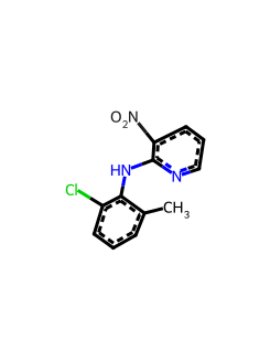 Cc1cccc(Cl)c1Nc1ncccc1[N+](=O)[O-]